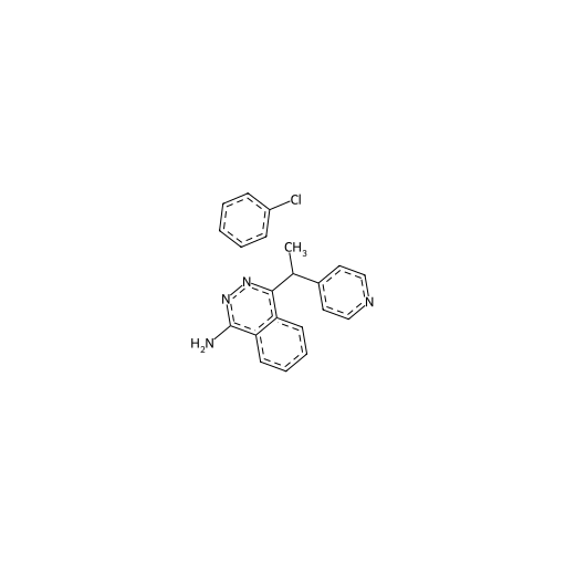 CC(c1ccncc1)c1nnc(N)c2ccccc12.Clc1ccccc1